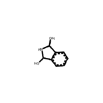 OC1NC(O)c2cc[c]cc21